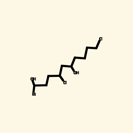 CCC(O)CCC(Cl)CC(O)CCCCCl